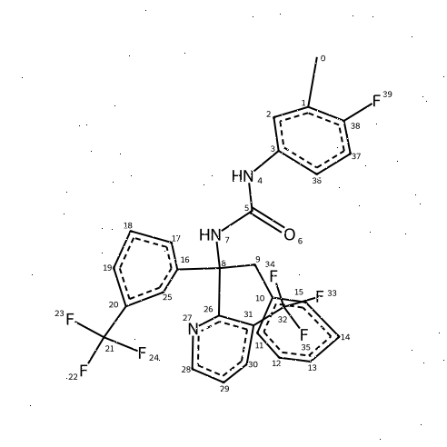 Cc1cc(NC(=O)NC(Cc2ccccc2)(c2cccc(C(F)(F)F)c2)c2ncccc2C(F)(F)F)ccc1F